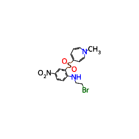 CN1C=CC=C(S(=O)(=O)c2cc([N+](=O)[O-])ccc2NCCBr)C=C1